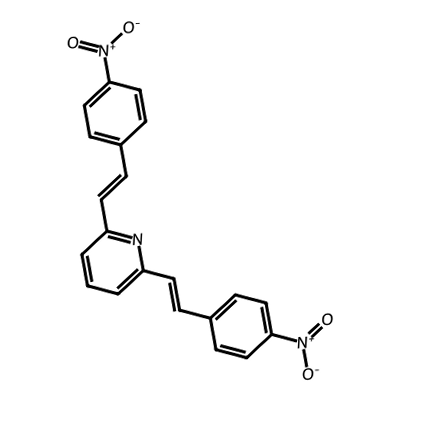 O=[N+]([O-])c1ccc(C=Cc2cccc(C=Cc3ccc([N+](=O)[O-])cc3)n2)cc1